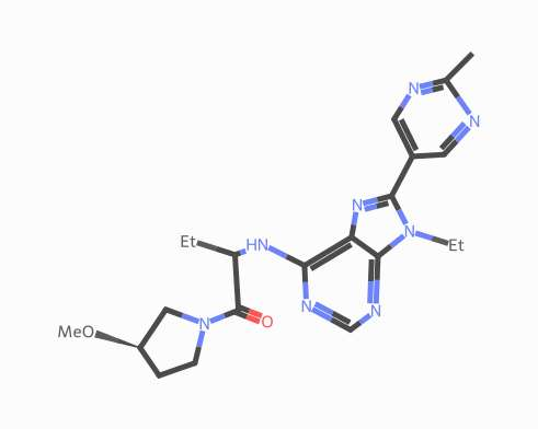 CCC(Nc1ncnc2c1nc(-c1cnc(C)nc1)n2CC)C(=O)N1CC[C@@H](OC)C1